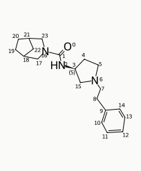 O=C(N[C@H]1CCN(CCc2ccccc2)C1)N1CC2CCC(C2)C1